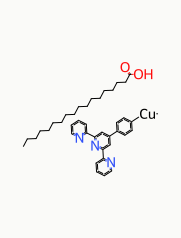 CCCCCCCCCCCCCCCCCC(=O)O.Cc1ccc(-c2cc(-c3ccccn3)nc(-c3ccccn3)c2)cc1.[Cu]